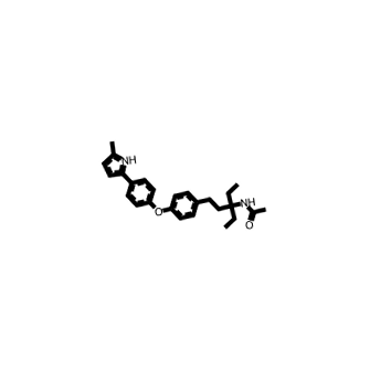 CCC(CC)(CCc1ccc(Oc2ccc(-c3ccc(C)[nH]3)cc2)cc1)NC(C)=O